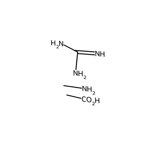 CC(=O)O.CN.N=C(N)N